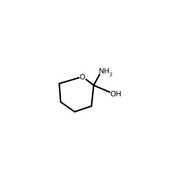 NC1(O)CCCCO1